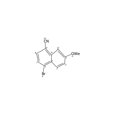 COc1ccc2c(Br)ccc(C#N)c2c1